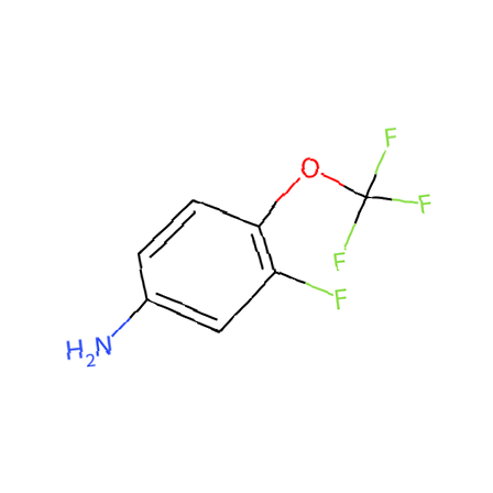 Nc1ccc(OC(F)(F)F)c(F)c1